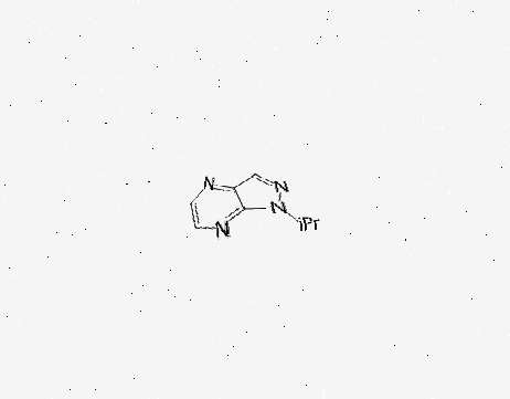 CC(C)n1ncc2nccnc21